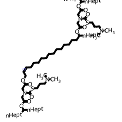 CCCCCCCC(CCCCCCC)OC(=O)CN(CC(=O)OC/C=C\CCCCCCCCCCCCCC(CCCCCCC)OC(=O)CN(CC(=O)OC(CCCCCCC)CCCCCCC)C(=O)SCCCN(C)C)C(=O)SCCCN(C)C